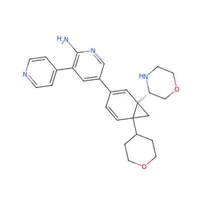 Nc1ncc(C2=CC3([C@H]4COCCN4)CC3(C3CCOCC3)C=C2)cc1-c1ccncc1